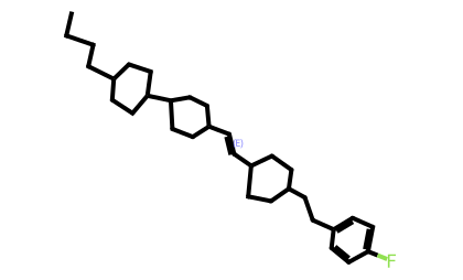 CCCCC1CCC(C2CCC(/C=C/C3CCC(CCc4ccc(F)cc4)CC3)CC2)CC1